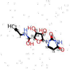 C#CCNC(O)[C@H]1O[C@@H](n2ccc(=O)[nH]c2=O)[C@H](O)[C@@H]1O